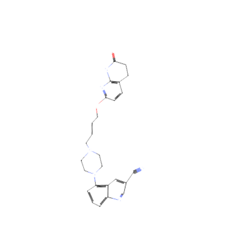 N#Cc1cnc2cccc(N3CCN(CCCCOc4ccc5c(n4)NC(=O)CC5)CC3)c2c1